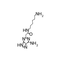 NCCCCCCNC(=O)Cc1nc(N)c2nc[nH]c2n1